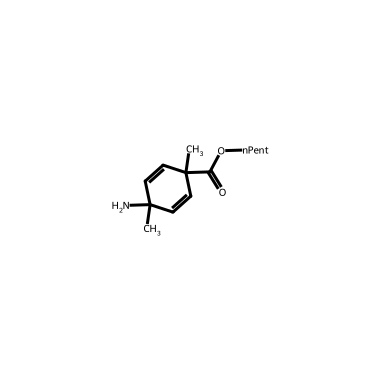 CCCCCOC(=O)C1(C)C=CC(C)(N)C=C1